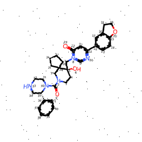 O=C(N1CC[C@@](O)(Cn2cnc(-c3ccc4c(c3)CCO4)cc2=O)C2(CCCC2)C1)N1CCNC[C@H]1c1ccccc1